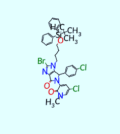 Cn1cc(Cl)cc(N2C(=O)c3nc(Br)n(CCCCO[Si](c4ccccc4)(c4ccccc4)C(C)(C)C)c3C2c2ccc(Cl)cc2)c1=O